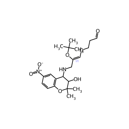 CC(C)(C)O/C(=C\OCCC=O)CNC1c2cc([N+](=O)[O-])ccc2OC(C)(C)C1O